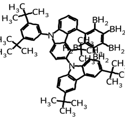 Bc1c(B)c(B)c(-c2cccc3c2c2c(C(C)(C)C)c(-n4c5ccc(C(C)(C)C)cc5c5cc(C(C)(C)C)ccc54)ccc2n3-c2cc(C(C)(C)C)cc(C(C)(C)C)c2)c(B)c1B